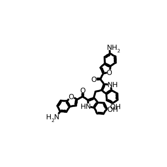 Nc1ccc2oc(C(=O)c3[nH]c4ccc(O)cc4c3Cc3c(C(=O)c4cc5cc(N)ccc5o4)[nH]c4ccc(O)cc34)cc2c1